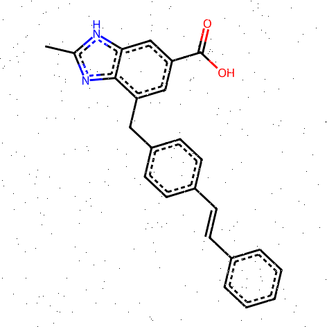 Cc1nc2c(Cc3ccc(C=Cc4ccccc4)cc3)cc(C(=O)O)cc2[nH]1